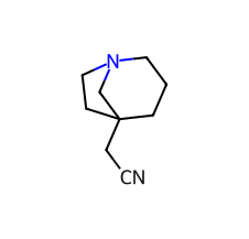 N#CCC12CCCN(CC1)C2